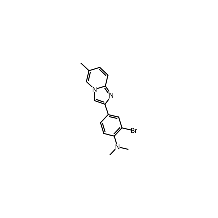 Cc1ccc2nc(-c3ccc(N(C)C)c(Br)c3)cn2c1